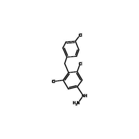 NNc1cc(Cl)c(Cc2ccc(Cl)cc2)c(Cl)c1